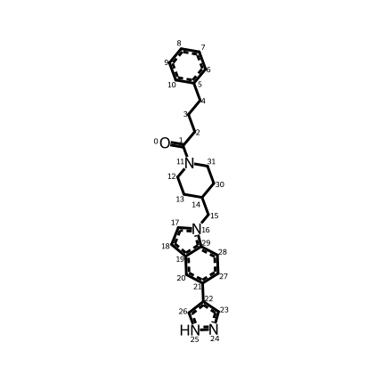 O=C(CCCc1ccccc1)N1CCC(Cn2ccc3cc(-c4cn[nH]c4)ccc32)CC1